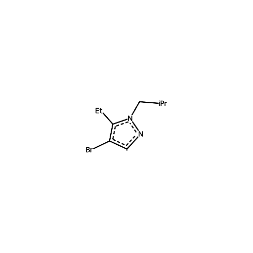 CCc1c(Br)[c]nn1CC(C)C